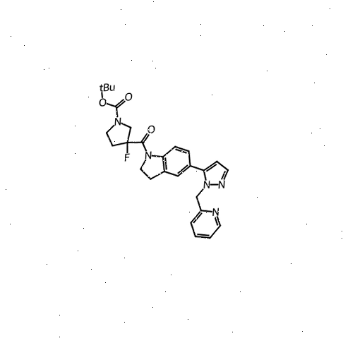 CC(C)(C)OC(=O)N1CCC(F)(C(=O)N2CCc3cc(-c4ccnn4Cc4ccccn4)ccc32)C1